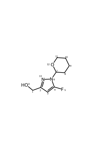 OCc1cc(F)n(C2CCCCO2)n1